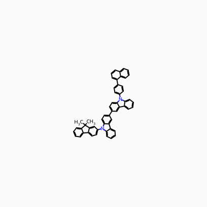 CC1(C)c2ccccc2-c2ccc(-n3c4ccccc4c4cc(-c5ccc6c(c5)c5ccccc5n6-c5ccc(-c6cccc7ccccc67)cc5)ccc43)cc21